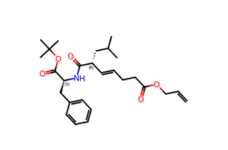 C=CCOC(=O)CCC=C[C@@H](CC(C)C)C(=O)N[C@@H](Cc1ccccc1)C(=O)OC(C)(C)C